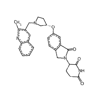 Cc1nc2ccccc2cc1CN1CC[C@H](Oc2ccc3c(c2)C(=O)N(C2CCC(=O)NC2=O)C3)C1